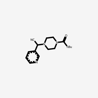 CCCCC(=O)N1CCN(C(C#N)c2cccnc2)CC1